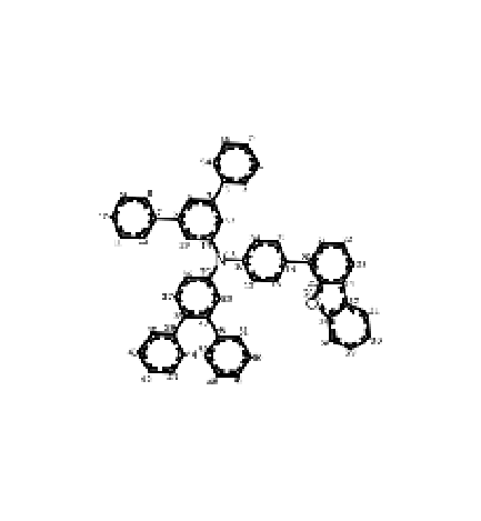 c1ccc(-c2cc(-c3ccccc3)cc(N(c3ccc(-c4cccc5c4oc4ccccc45)cc3)c3ccc(-c4ccccc4)c(-c4ccccc4)c3)c2)cc1